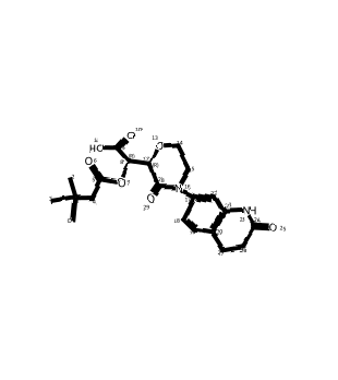 CC(C)(C)CC(=O)O[C@@H](C(=O)O)[C@H]1OCCN(c2ccc3c(c2)NC(=O)CC3)C1=O